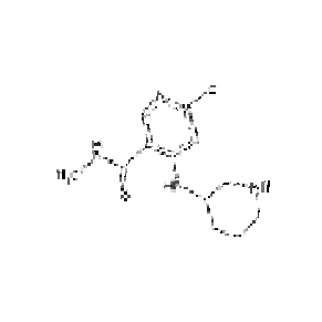 CNC(=O)c1cnc(Cl)cc1NC1CCCNC1